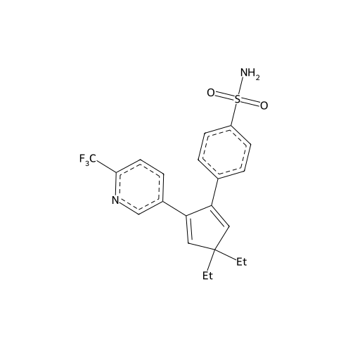 CCC1(CC)C=C(c2ccc(S(N)(=O)=O)cc2)C(c2ccc(C(F)(F)F)nc2)=C1